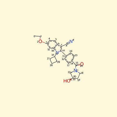 CCOc1ccc2c(C#N)c(-c3ccc(C(=O)N4CC[C@@H](O)C4)cc3)n(C3CCC3)c2c1